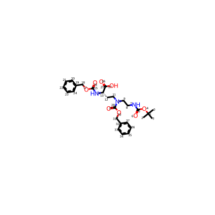 CC(C)(C)OC(=O)NCCN(CC[C@H](NC(=O)OCc1ccccc1)C(=O)O)C(=O)OCc1ccccc1